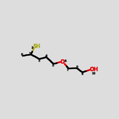 CC(S)CCCOCCCO